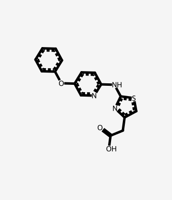 O=C(O)Cc1csc(Nc2ccc(Oc3ccccc3)cn2)n1